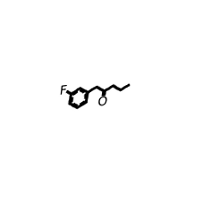 CCCC(=O)Cc1cccc(F)c1